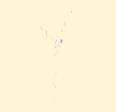 CCCCCCCCCCCCCCCCC[n+]1ccn(CCCCCCCCCC)c1CCCCCC